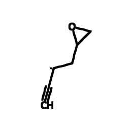 C#C[CH]CC1CO1